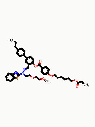 C=CC(=O)OCCCCCCOc1ccc(C(=O)Oc2ccc(-c3ccc(CCC)cc3)cc2/C=N/N(CCOCCOC)c2nc3ccccc3s2)cc1